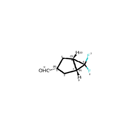 O=C[C@H]1C[C@@H]2[C@H](C1)C2(F)F